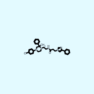 CC1(c2ccccc2)CN(c2ccc(Cl)cc2)CCN1CCNC(=O)CCn1cnc(-c2ccccc2)c1